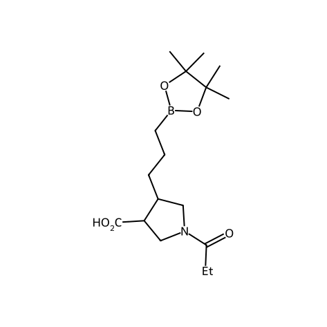 CCC(=O)N1CC(CCCB2OC(C)(C)C(C)(C)O2)C(C(=O)O)C1